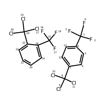 FC(F)(F)c1ccc(C(Cl)(Cl)Cl)cc1.FC(F)(F)c1ccccc1C(Cl)(Cl)Cl